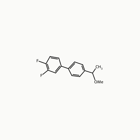 COC(C)c1ccc(-c2ccc(F)c(F)c2)cc1